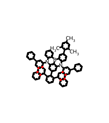 Cc1cc(C)c(-c2ccc3c(c2)B2c4ccccc4N(c4cc(-c5ccccc5)cc(-c5ccccc5)c4)c4cc(-c5c(-c6ccccc6)cccc5-c5ccccc5)cc(c42)N3c2cc(-c3ccccc3)cc(-c3ccccc3)c2)c(C)c1